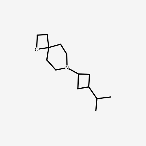 CC(C)C1CC(N2CCC3(CCO3)CC2)C1